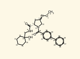 CON=C1C[C@@H](C(=O)NCC2(O)CCCCC2)N(C(=O)c2ccc(-c3ccccc3)cc2)C1